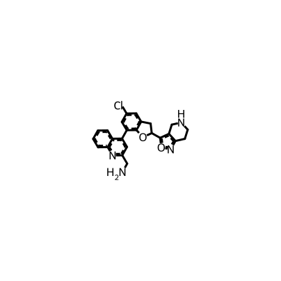 NCc1cc(-c2cc(Cl)cc3c2OC(c2onc4c2CNCC4)C3)c2ccccc2n1